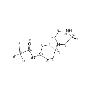 C[C@H]1CN(C2(C)CCN(OC(=O)C(C)(C)C)CC2)CCN1